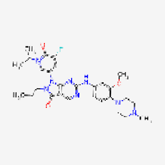 C=CCn1c(=O)c2cnc(Nc3ccc(N4CCN(C)CC4)c(OC)c3)nc2n1-c1cc(F)c(=O)n(C(C)C)c1